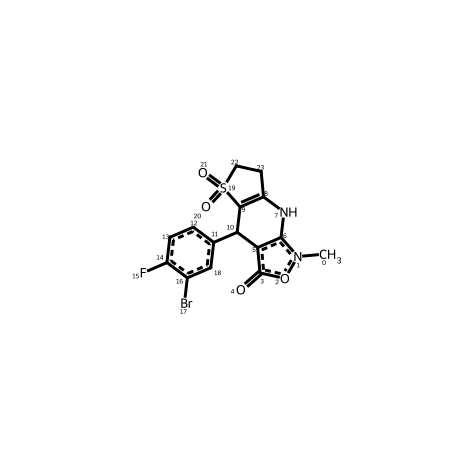 Cn1oc(=O)c2c1NC1=C(C2c2ccc(F)c(Br)c2)S(=O)(=O)CC1